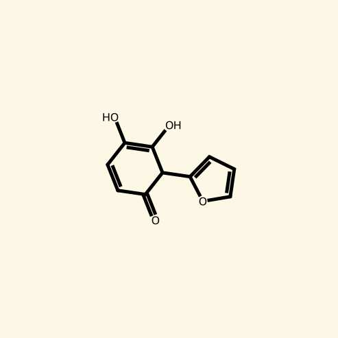 O=C1C=CC(O)=C(O)C1c1ccco1